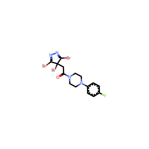 O=C(CC1(Br)C(Br)=NN=C1Br)N1CCN(c2ccc(F)cc2)CC1